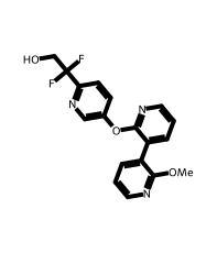 COc1ncccc1-c1cccnc1Oc1ccc(C(F)(F)CO)nc1